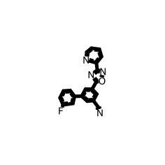 N#Cc1cc(-c2cccc(F)c2)cc(-c2nc(-c3ccccn3)no2)c1